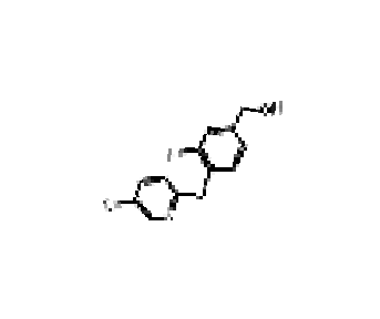 OCc1ccc(Oc2ccc(Cl)cn2)c(F)c1